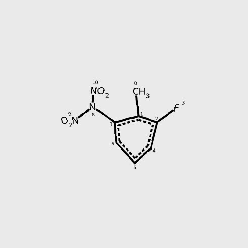 Cc1c(F)cccc1N([N+](=O)[O-])[N+](=O)[O-]